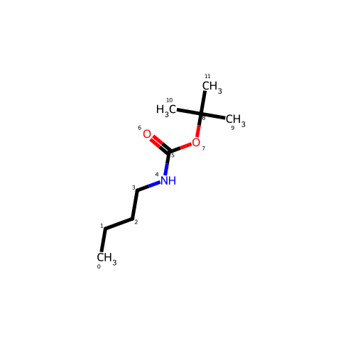 CCCCNC(=O)OC(C)(C)C